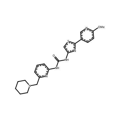 COc1ccc(-c2nc(NC(=O)Nc3cccc(CN4CCCCC4)n3)cs2)cn1